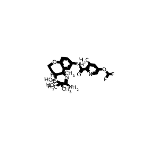 Cc1cc(OC(F)F)cnc1C(=O)Nc1ccc2c(c1)[C@@]1(C)N=C(N)C(C)(C)S(O)(O)[C@@H]1CCO2